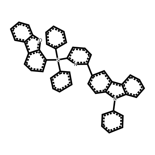 c1ccc(-n2c3ccccc3c3cc(-c4cccc([Si](c5ccccc5)(c5ccccc5)c5cccc6c5oc5ccccc56)n4)ccc32)cc1